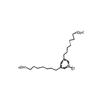 CCCCCCCCCCCCCCCCCc1cc(CCCCCCCCCCCCCCCCC)c[n+](CC)c1